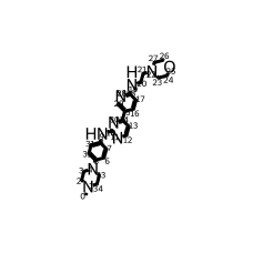 CN1CCN(c2ccc(Nc3nccc(-c4ccc(NCCN5CCOCC5)nc4)n3)cc2)CC1